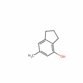 Cc1cc(O)c2c(c1)CCC2